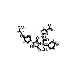 CCC(=O)c1csc(NC(=O)[C@H]([C@@H](C)c2ccc(F)cc2)N2C(=O)N[C@H](c3ccc(OCCOC)cc3)C2=O)n1